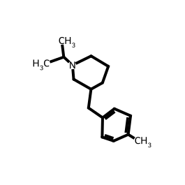 Cc1ccc(CC2CCCN(C(C)C)C2)cc1